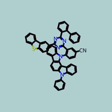 N#Cc1ccc(-n2c3ccccc3c3ccc4c(c5ccccc5n4-c4ccccc4)c32)c(-c2nc(-c3ccc4sc5ccccc5c4c3)nc(-c3ccccc3-c3ccccc3)n2)c1